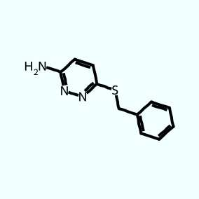 Nc1ccc(SCc2ccccc2)nn1